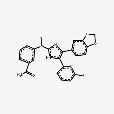 CCc1cccc(-c2[nH]c(N(C)c3cccc(C(N)=O)c3)nc2-c2ccc3c(c2)OCO3)n1